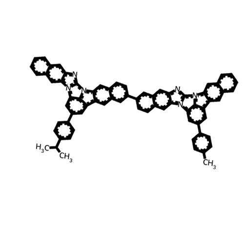 Cc1ccc(-c2cc3c4cc5ccccc5cc4n4c3c(c2)n2c3cc5ccc(-c6ccc7cc8c(cc7c6)c6cc(-c7ccc(C(C)C)cc7)cc7c6n8c6nc8cc9ccccc9cc8n76)cc5cc3nc24)cc1